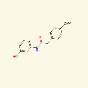 COc1ccc(CC(=O)Nc2cccc(O)c2)cc1